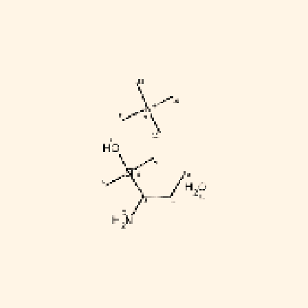 CCC(N)[Si](C)(C)O.C[N+](C)(C)C.O